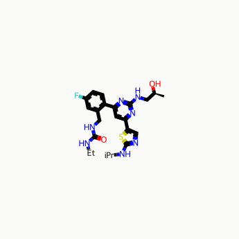 CCNC(=O)NCc1cc(F)ccc1-c1cc(-c2cnc(NC(C)C)s2)nc(NC[C@H](C)O)n1